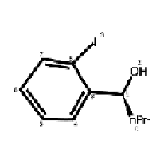 CC[CH][C@H](O)c1ccccc1I